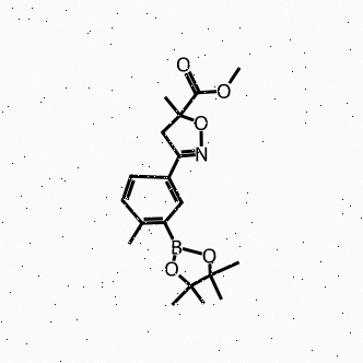 COC(=O)C1(C)CC(c2ccc(C)c(B3OC(C)(C)C(C)(C)O3)c2)=NO1